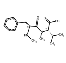 CN[C@@H](Cc1ccccc1)C(=O)N(C)[C@H](C(=O)O)C(C)C